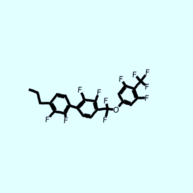 CCCc1ccc(-c2ccc(C(F)(F)Oc3cc(F)c(C(F)(F)F)c(F)c3)c(F)c2F)c(F)c1F